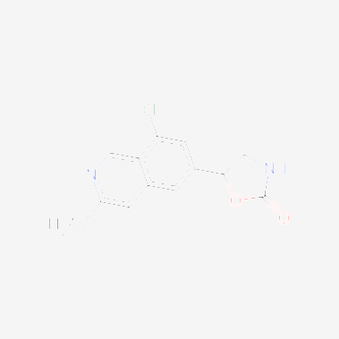 O=C1NCC(c2cc(Cl)c3cnc([AsH2])cc3c2)O1